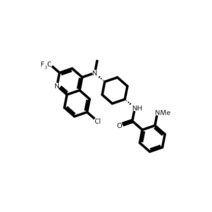 CNc1ccccc1C(=O)N[C@H]1CC[C@@H](N(C)c2cc(C(F)(F)F)nc3ccc(Cl)cc23)CC1